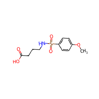 COc1ccc(S(=O)(=O)NCCCC(=O)O)cc1